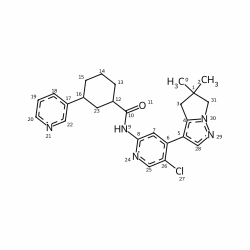 CC1(C)Cc2c(-c3cc(NC(=O)C4CCCC(c5cccnc5)C4)ncc3Cl)cnn2C1